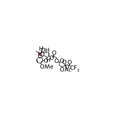 COc1ccc2c3c1O[C@H]1C(OC(=O)[C@H](C)OC(=O)C[C@H](OC(C)=O)C(=O)OC(=O)C(F)(F)F)=CC[C@@]4(O)[C@@H](C2)N(C)CC[C@]314